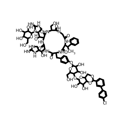 CC(c1ccccc1)C1NC(=O)CNC(=O)C(CO)NC(=O)C(C(O)C2CNC(=N)N2C2OC(CO)C(O)C(O)C2O)NC(=O)C(C(O)C2CNC(=N)N2)NC(=O)C(Cc2ccc(OC3OC(CO)C(OC4OC5COC(c6cccc(-c7ccc(Cl)cc7)c6)OC5C(O)C4O)C(O)C3O)cc2)NC1=O